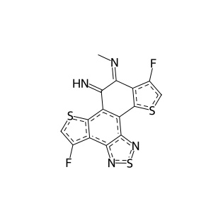 C/N=C1\C(=N)c2c(c3nsnc3c3c(F)csc23)-c2scc(F)c21